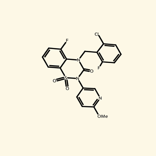 COc1ccc(N2C(=O)N(Cc3c(F)cccc3Cl)c3c(F)cccc3S2(=O)=O)cn1